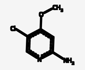 COc1cc(N)ncc1Cl